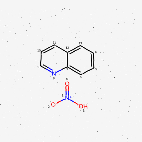 O=[N+]([O-])O.c1ccc2ncccc2c1